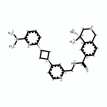 CN(C)c1cccc([C@H]2C[C@H](c3ccnc(CNC(=O)c4ccc5c(c4)[C@](C)(C#N)COC5)c3)C2)n1